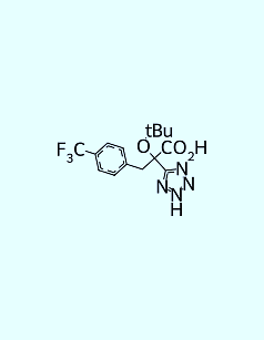 CC(C)(C)OC(Cc1ccc(C(F)(F)F)cc1)(C(=O)O)c1nn[nH]n1